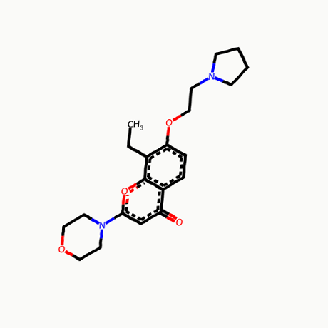 CCc1c(OCCN2CCCC2)ccc2c(=O)cc(N3CCOCC3)oc12